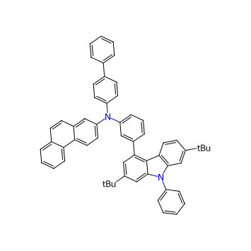 CC(C)(C)c1ccc2c3c(-c4cccc(N(c5ccc(-c6ccccc6)cc5)c5ccc6c(ccc7ccccc76)c5)c4)cc(C(C)(C)C)cc3n(-c3ccccc3)c2c1